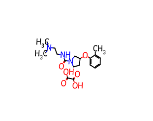 Cc1ccccc1OC1CCN(C(=O)NCCN(C)C)C1.O=C(O)C(=O)O